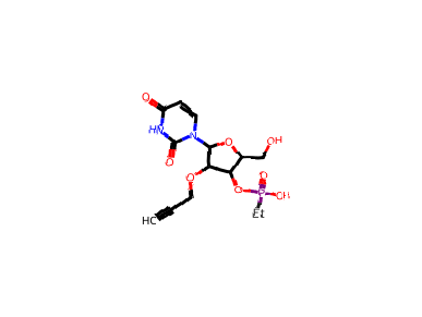 C#CCOC1C(OP(=O)(O)CC)C(CO)OC1n1ccc(=O)[nH]c1=O